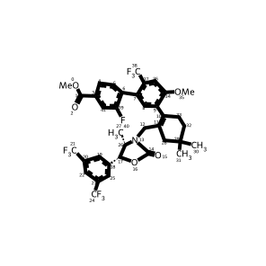 COC(=O)c1ccc(-c2cc(C3=C(CN4C(=O)O[C@H](c5cc(C(F)(F)F)cc(C(F)(F)F)c5)[C@@H]4C)CC(C)(C)CC3)c(OC)cc2C(F)(F)F)c(F)c1